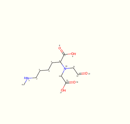 CNCCCCC(C(=O)O)N(CC=O)CC(=O)O